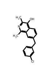 [CH2]c1nc(C)c2cc(Cc3cccc(Cl)c3)ccc2c1O